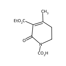 CCOC(=O)C1=C(C)CCN(C(=O)O)C1=O